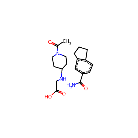 CC(=O)N1CCC(NCC(=O)O)CC1.NC(=O)c1ccc2c(c1)CCC2